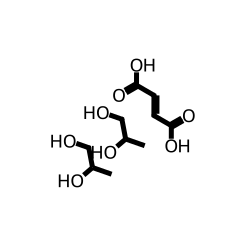 CC(O)CO.CC(O)CO.O=C(O)/C=C/C(=O)O